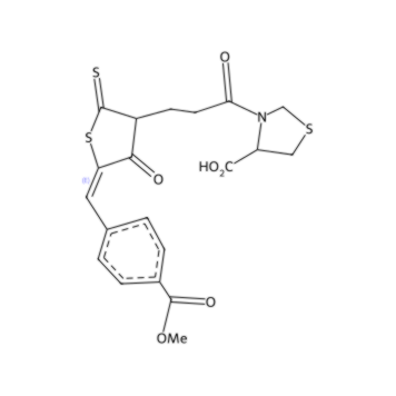 COC(=O)c1ccc(/C=C2/SC(=S)C(CCC(=O)N3CSCC3C(=O)O)C2=O)cc1